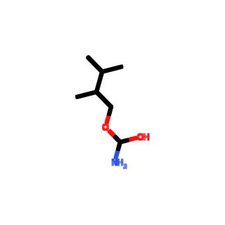 CC(C)C(C)COC(N)O